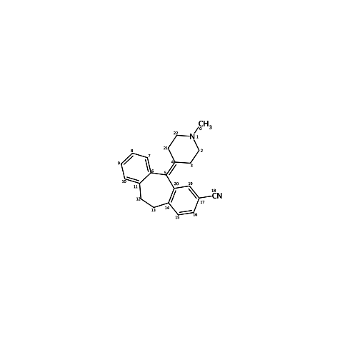 CN1CCC(=C2c3ccccc3CCc3ccc(C#N)cc32)CC1